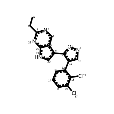 CCc1ncc2c(-c3oncc3-c3cccc(Cl)c3Cl)c[nH]c2n1